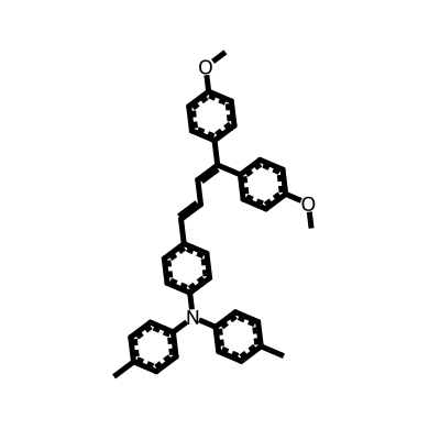 COc1ccc(C(=CC=Cc2ccc(N(c3ccc(C)cc3)c3ccc(C)cc3)cc2)c2ccc(OC)cc2)cc1